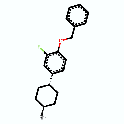 CCC[C@H]1CC[C@H](c2ccc(OCc3ccccc3)c(F)c2)CC1